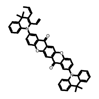 C=CC1=C(/C=C\C)C(C)(C)c2ccccc2N1c1ccc2oc3cc4c(=O)c5cc(N6c7ccccc7C(C)(C)c7ccccc76)ccc5oc4cc3c(=O)c2c1